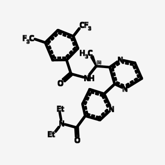 CCN(CC)C(=O)c1ccc(-c2nccnc2[C@H](C)NC(=O)c2cc(C(F)(F)F)cc(C(F)(F)F)c2)nc1